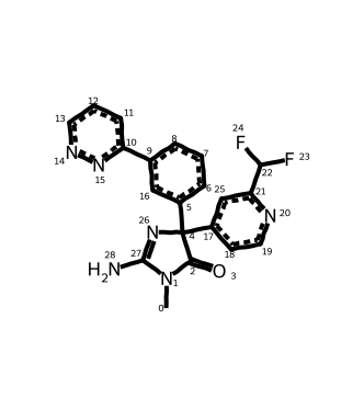 CN1C(=O)C(c2cccc(-c3cccnn3)c2)(c2ccnc(C(F)F)c2)N=C1N